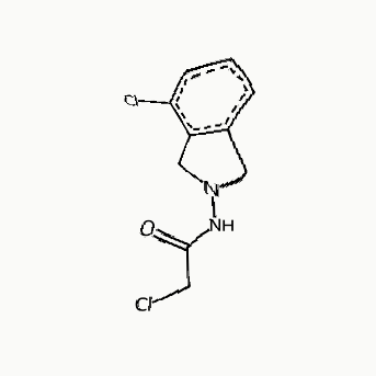 O=C(CCl)NN1Cc2cccc(Cl)c2C1